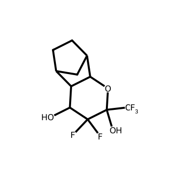 OC1C2C3CCC(C3)C2OC(O)(C(F)(F)F)C1(F)F